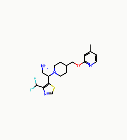 Cc1ccnc(OCC2CCN(C(CN)c3scnc3C(F)F)CC2)c1